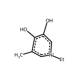 CC[n+]1cc(C)c(O)c(O)c1